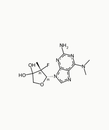 CN(C)c1nc(N)nc2c1ncn2[C@@H]1OCC(O)(O)[C@]1(C)F